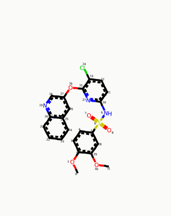 COc1ccc(S(=O)(=O)Nc2ccc(Cl)c(Oc3cnc4ccccc4c3)n2)cc1OC